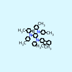 Cc1ccc(N2c3cc(C)ccc3B3c4ccc(C)cc4N(c4ccc(C)cc4)c4cc(N(c5ccccc5)c5ccc6c(c5)C(C)(C)c5ccccc5-6)cc2c43)cc1